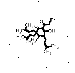 CC(C)=CCC1=C(C)C(CC=C(C)C)(CC=C(C)C)C(=O)C(C(=O)CC(C)C)=C1O